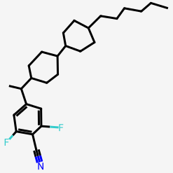 CCCCCCC1CCC(C2CCC(C(C)c3cc(F)c(C#N)c(F)c3)CC2)CC1